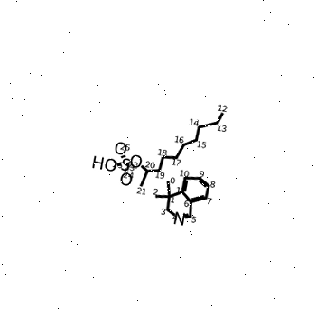 CC1(C)CN=Cc2ccccc21.CCCCCCCCC(C)OS(=O)(=O)O